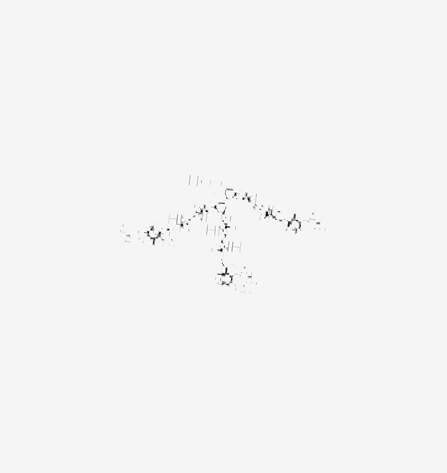 CC(=O)OC1C(OC(C)=O)[C@H](C)OC(OCCCC(=O)NCCNC(=O)COc2cc(OCC(=O)NCCNC(=O)CCCOC3O[C@@H](C)C(OC(C)=O)C(OC(C)=O)[C@@H]3OC(C)=O)cc(-c3cc(OCC(=O)NCCNC(=O)CCCOC4O[C@@H](C)C(OC(C)=O)C(OC(C)=O)[C@@H]4OC(C)=O)cc(C(=O)O)c3)c2)[C@H]1OC(C)=O